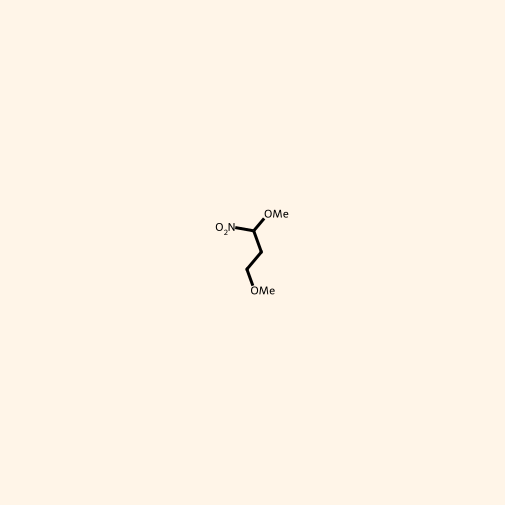 COCCC(OC)[N+](=O)[O-]